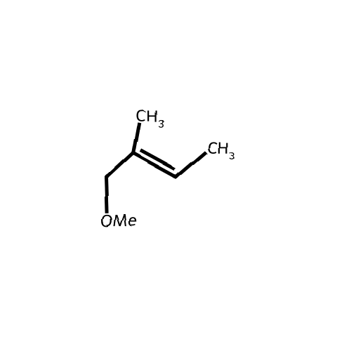 CC=C(C)COC